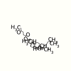 CCC(=O)CCC(=O)O[C@H]1CC[C@@]2(C)C(=CC[C@H]3[C@H]4CC[C@@H]([C@H](C)CCCC(C)C)[C@@]4(C)CC[C@@H]32)C1